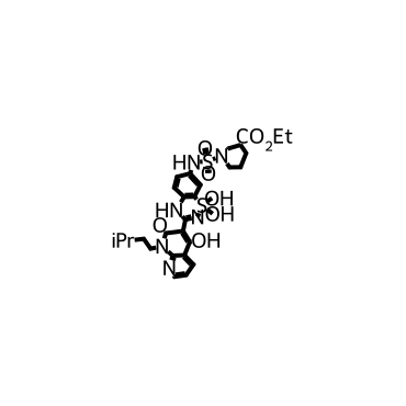 CCOC(=O)C1CCCN(S(=O)(=O)Nc2ccc3c(c2)S(O)(O)N=C(c2c(O)c4cccnc4n(CCC(C)C)c2=O)N3)C1